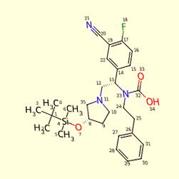 CC(C)(C)[Si](C)(C)O[C@H]1CCN(C[C@H](c2ccc(F)c(C#N)c2)N(CCc2ccccc2)C(=O)O)C1